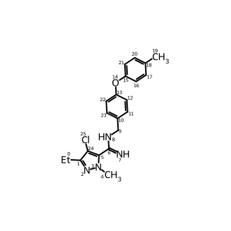 CCc1nn(C)c(C(=N)NCc2ccc(Oc3ccc(C)cc3)cc2)c1Cl